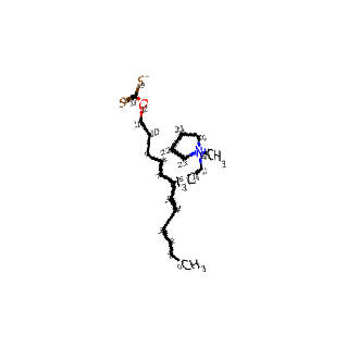 CCCCCCCCCCCCOC(=S)[S-].CC[N+]1(C)CCCC1